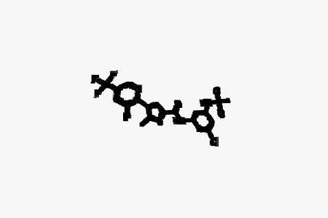 Cc1sc(C(=O)Nc2cc(Cl)cc(NS(C)(=O)=O)c2)cc1-c1ncc(C(F)(F)F)cc1F